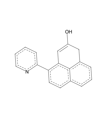 OC1=Cc2c(-c3ccccn3)ccc3cccc(c23)C1